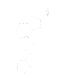 COC(=O)c1cc2ccnc(NS(=O)(=O)c3cccs3)c2[nH]1